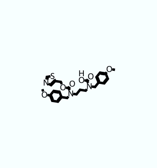 COc1ccc(CN(CCCN(Cc2ccc(OC)cc2)C(=O)OCc2cncs2)C(=O)O)cc1